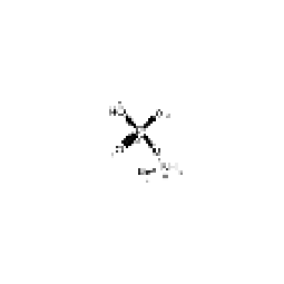 N.O=P([O-])([O-])O.[Be+2]